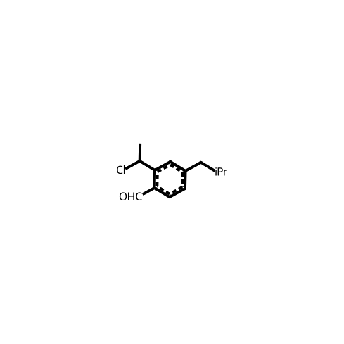 CC(C)Cc1ccc(C=O)c(C(C)Cl)c1